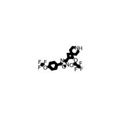 O=C(OC1C(c2noc(-c3ccc(OC(F)(F)F)cc3)n2)CC12CCNCC2)C(F)(F)F